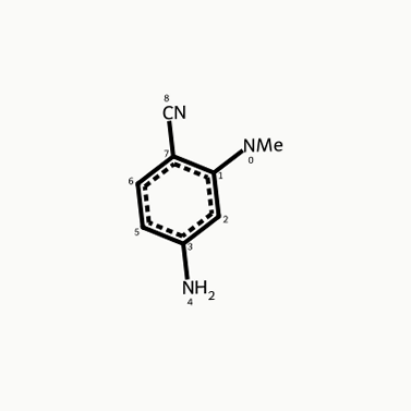 CNc1cc(N)ccc1C#N